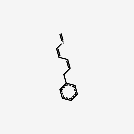 C=N/C=C\C=C/Cc1ccccc1